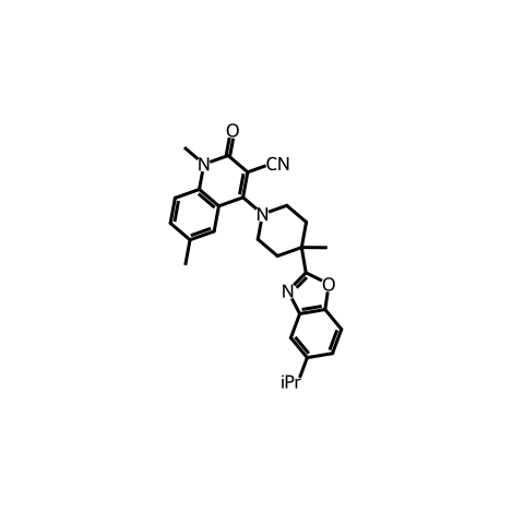 Cc1ccc2c(c1)c(N1CCC(C)(c3nc4cc(C(C)C)ccc4o3)CC1)c(C#N)c(=O)n2C